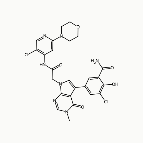 Cn1cnc2c(c(-c3cc(Cl)c(O)c(C(N)=O)c3)cn2CC(=O)Nc2cc(N3CCOCC3)ncc2Cl)c1=O